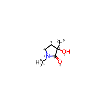 [2H]C1(O)CCN(C)C1=O